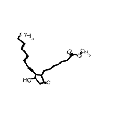 CCCCCCC#CC1C(O)CC(=O)C1CCCCCCC(=O)OC